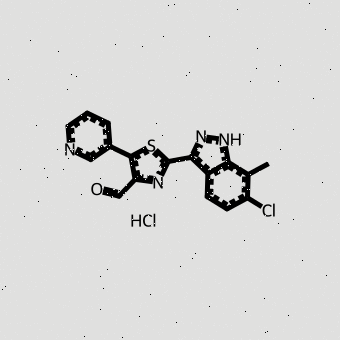 Cc1c(Cl)ccc2c(-c3nc(C=O)c(-c4cccnc4)s3)n[nH]c12.Cl